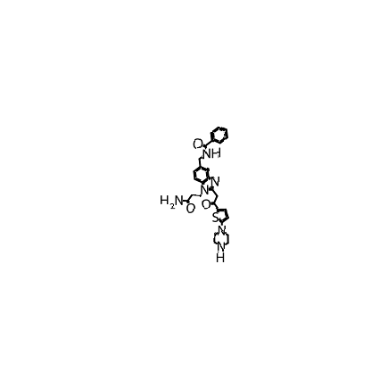 NC(=O)CCn1c(CC(=O)c2ccc(N3CCNCC3)s2)nc2cc(CNC(=O)c3ccccc3)ccc21